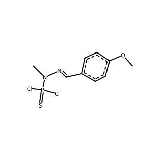 COc1ccc(/C=N/N(C)P(=S)(Cl)Cl)cc1